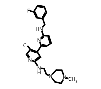 CN1CCN(CCNc2cc(-c3cccc(NCc4cccc(F)c4)n3)c(Cl)cn2)CC1